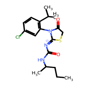 CCCC(C)NC(=O)/N=C1\SCC(=O)N1c1cc(Cl)ccc1C(C)C